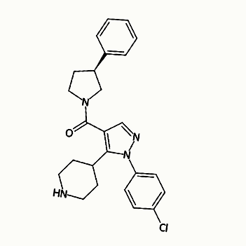 O=C(c1cnn(-c2ccc(Cl)cc2)c1C1CCNCC1)N1CC[C@@H](c2ccccc2)C1